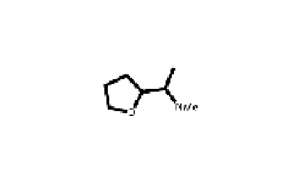 CNC(C)C1CCCO1